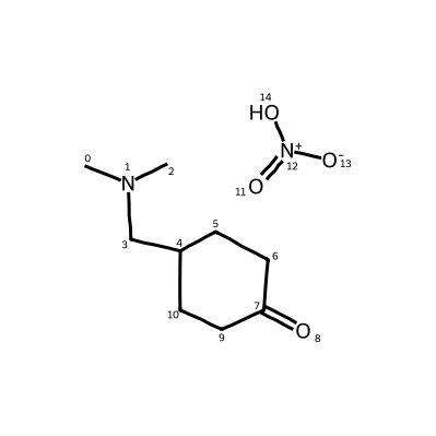 CN(C)CC1CCC(=O)CC1.O=[N+]([O-])O